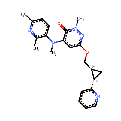 Cc1ccc(N(C)c2cc(OC[C@H]3C[C@@H]3c3ccccn3)nn(C)c2=O)c(C)n1